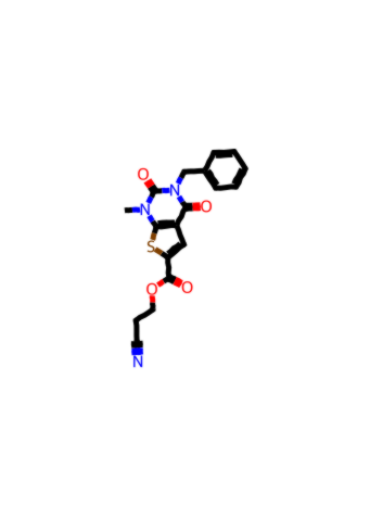 Cn1c(=O)n(Cc2ccccc2)c(=O)c2cc(C(=O)OCCC#N)sc21